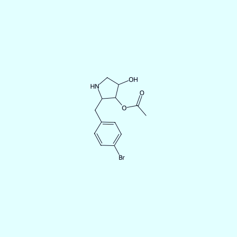 CC(=O)OC1C(O)CNC1Cc1ccc(Br)cc1